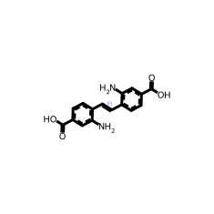 Nc1cc(C(=O)O)ccc1/C=C/c1ccc(C(=O)O)cc1N